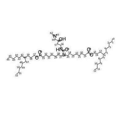 CCCCCCC(CCCCCC)CCCOC(=O)CCCCCCCN(CCCCCCCC(=O)OCCCC(CCCCCC)CCCCCC)C(=O)NCCC(O)CN(C)C